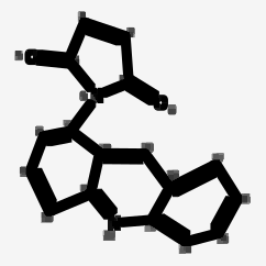 O=C1C=CC(=O)N1c1cccc2nc3ccccc3cc12